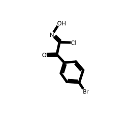 O=C(C(Cl)=NO)c1ccc(Br)cc1